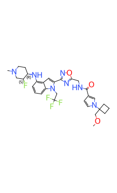 COCC1(n2ccc(C(=O)NCc3nc(-c4cc5c(N[C@@H]6CCN(C)C[C@@H]6F)cccc5n4CC(F)(F)F)no3)c2)CCC1